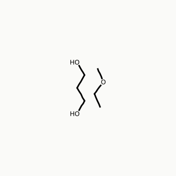 CCOC.OCCCO